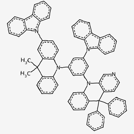 CC1(C)c2ccccc2N(c2cc(N3c4ccccc4C(c4ccccc4)(c4ccccc4)c4ccncc43)cc(-n3c4ccccc4c4ccccc43)c2)c2ccc(-n3c4ccccc4c4ccccc43)cc21